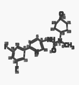 CN(C(=O)Nc1ccc(-c2cc(F)cc(F)c2)nc1)C1CCC(=O)CC1